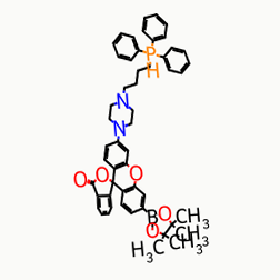 CC1(C)OB(c2ccc3c(c2)Oc2cc(N4CCN(CCCC[PH](c5ccccc5)(c5ccccc5)c5ccccc5)CC4)ccc2C32OC(=O)c3ccccc32)OC1(C)C